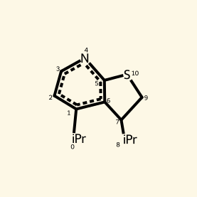 CC(C)c1ccnc2c1C(C(C)C)CS2